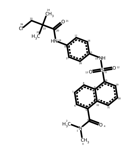 CN(C)C(=O)c1cccc2c(S(=O)(=O)Nc3ccc(NC(=O)C(C)(C)CCl)cc3)cccc12